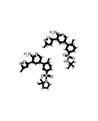 Cc1cc(-c2cc(-c3cc(S(=O)(=O)N4CCCC4(C)C)ccc3C)cnc2N)on1.Cc1cc(-c2cc(-c3cc(S(=O)(=O)NC(C)(C)C)ccc3C)cnc2N)on1